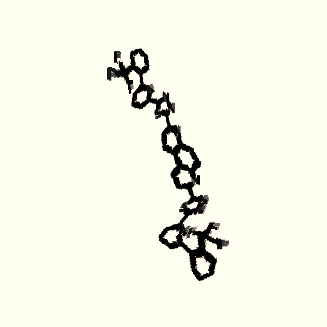 FC(F)(F)c1ccccc1-c1cccc(-c2nnc(-c3ccc4c(ccc5nc(-c6nnc(-c7cccc(-c8ccccc8C(F)(F)F)n7)s6)ccc54)n3)s2)n1